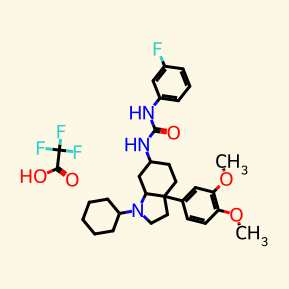 COc1ccc(C23CCC(NC(=O)Nc4cccc(F)c4)CC2N(C2CCCCC2)CC3)cc1OC.O=C(O)C(F)(F)F